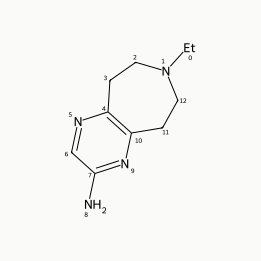 CCN1CCc2ncc(N)nc2CC1